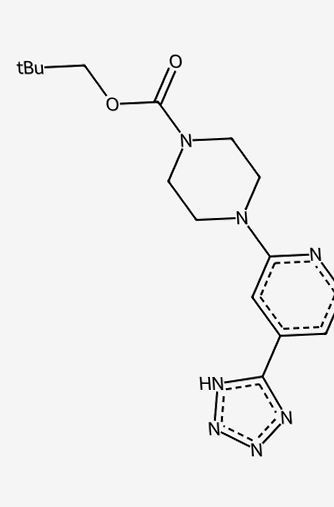 CC(C)(C)COC(=O)N1CCN(c2cc(-c3nnn[nH]3)ccn2)CC1